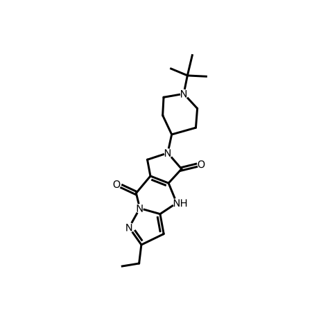 CCc1cc2[nH]c3c(c(=O)n2n1)CN(C1CCN(C(C)(C)C)CC1)C3=O